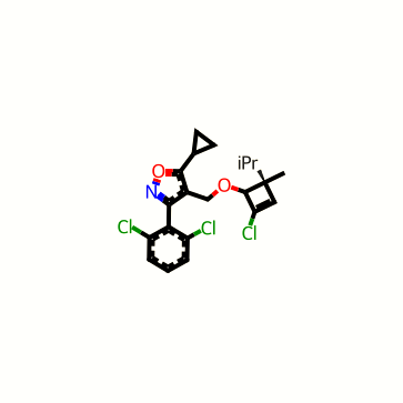 CC(C)[C@@]1(C)C=C(Cl)C1OCc1c(-c2c(Cl)cccc2Cl)noc1C1CC1